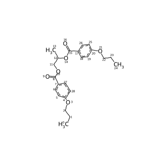 CCCOc1ccc(C(=O)OCC(C)OC(=O)c2ccc(OCCC)cc2)cc1